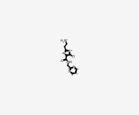 NCCc1nc(C(=O)NCc2ncccn2)c(Cl)s1